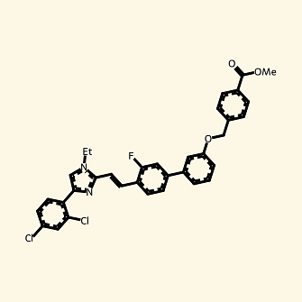 CCn1cc(-c2ccc(Cl)cc2Cl)nc1C=Cc1ccc(-c2cccc(OCc3ccc(C(=O)OC)cc3)c2)cc1F